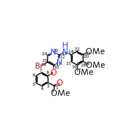 COC(=O)c1ccccc1Oc1nc(Nc2cc(OC)c(OC)c(OC)c2)ncc1Br